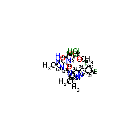 COC[C@@H]1CN(C[C@H]2CN[C@H](C)CN2CC(=O)N2CC(C)(C)c3nnc(Cc4ccc(F)cc4F)cc32)C(=O)CO1.Cl.Cl